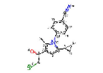 Cc1c(C(=O)CBr)cc(C2CC2)n1-c1ccc(C#N)cc1